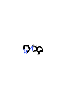 Cc1cccc(C)c1CN(N=O)c1cccnc1